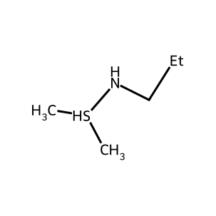 CCCN[SH](C)C